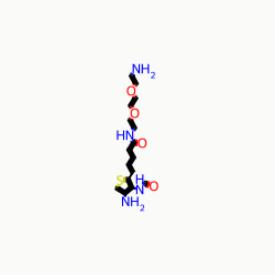 NCCOCCOCCNC(=O)CCCC[C@@H]1SC[C@H](N)[C@@H]1NC=O